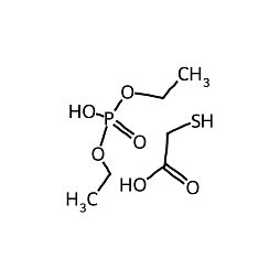 CCOP(=O)(O)OCC.O=C(O)CS